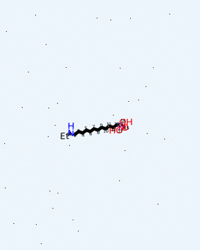 CCNCCCCCCCCCCCCP(=O)(O)O